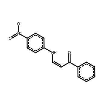 O=C(/C=C\Nc1ccc([N+](=O)[O-])cc1)c1ccccc1